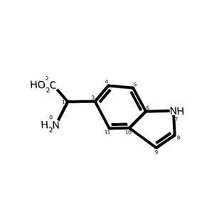 NC(C(=O)O)c1ccc2[nH]ccc2c1